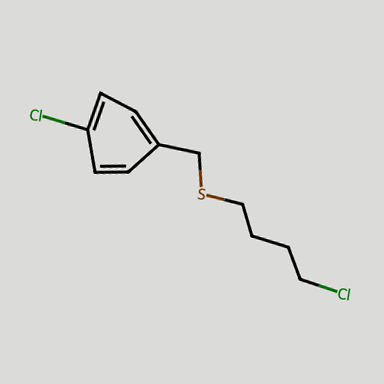 ClCCCCSCc1ccc(Cl)cc1